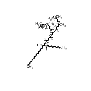 CCCCCCCCCCCCC/C=C/C(O)C(COC(=O)CCC(=O)OCC(COC(=O)CCC(C)(C)OCCC(C)(C)OC)OC(=O)CCC(C)(C)OCCC(C)(C)OC)NC(=O)CCCCCCCC